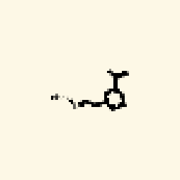 C=C(C)c1cccc(CC=NCCCCCC)c1